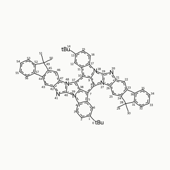 CC(C)(C)c1ccc2c(c1)c1c3c4c(c5cc(C(C)(C)C)ccc5n4c4nc5cc6c(cc5n34)C(C)(C)c3ccccc3-6)c3c1n2c1nc2cc4c(cc2n31)C(C)(C)c1ccccc1-4